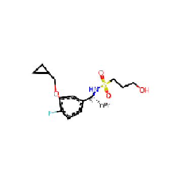 CCC[C@@H](NS(=O)(=O)CCCO)c1ccc(F)c(OCC2CC2)c1